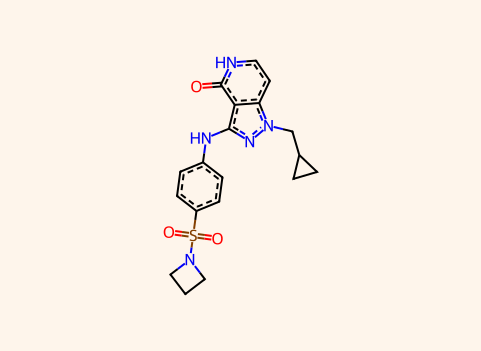 O=c1[nH]ccc2c1c(Nc1ccc(S(=O)(=O)N3CCC3)cc1)nn2CC1CC1